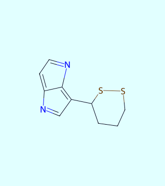 C1=NC2=CC=NC2=C1C1CCCSS1